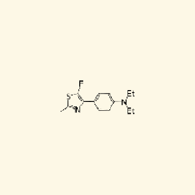 CCN(CC)c1ccc(-c2nc(C)sc2F)cc1